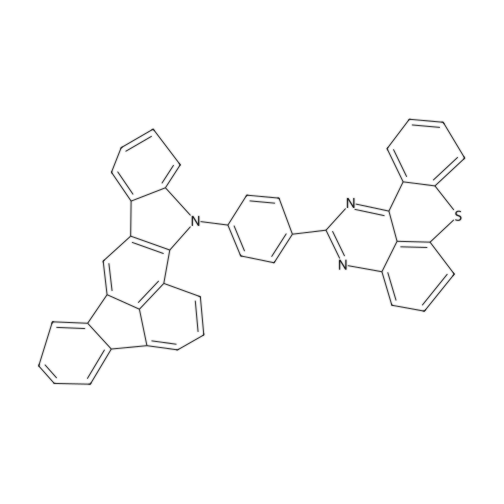 c1ccc2c(c1)Sc1cccc3nc(-c4ccc(-n5c6ccccc6c6cc7c8c(cccc8c65)-c5ccccc5-7)cc4)nc-2c13